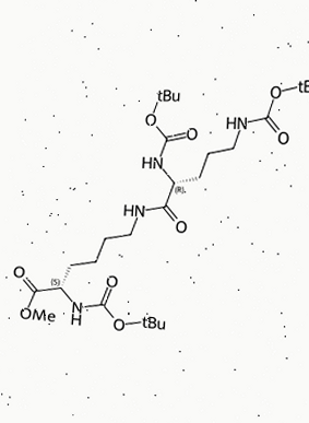 COC(=O)[C@H](CCCCNC(=O)[C@@H](CCCNC(=O)OC(C)(C)C)NC(=O)OC(C)(C)C)NC(=O)OC(C)(C)C